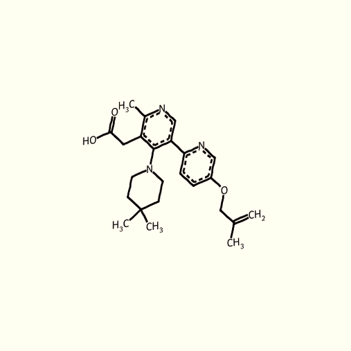 C=C(C)COc1ccc(-c2cnc(C)c(CC(=O)O)c2N2CCC(C)(C)CC2)nc1